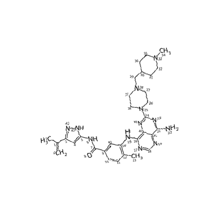 C=C(C)c1cc(NC(=O)c2ccc(C)c(Nc3ncnc4c(N)nc(N5CCN(CC6CCN(C)CC6)CC5)nc34)c2)[nH]n1